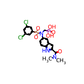 CN(C)C(=O)c1cc2cc(N(CP(=O)(O)O)S(=O)(=O)c3cc(Cl)cc(Cl)c3)ccc2[nH]1